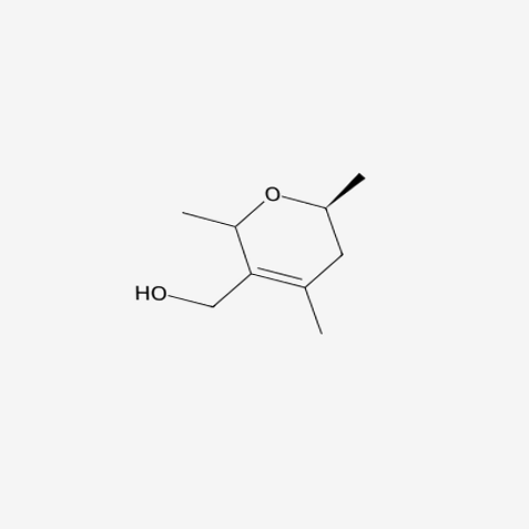 CC1=C(CO)C(C)O[C@@H](C)C1